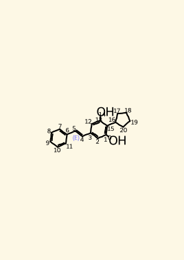 Oc1cc(/C=C/c2ccccc2)cc(O)c1C1CCCC1